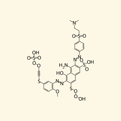 COc1ccc(SC#COOS(=O)(=O)O)cc1N=Nc1c(SOOO)cc2cc(S(=O)(=O)O)c(N=Nc3ccc(S(=O)(=O)CCN(C)C)cc3)c(N)c2c1O